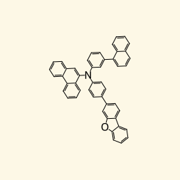 c1cc(-c2cccc3ccccc23)cc(N(c2ccc(-c3ccc4c(c3)oc3ccccc34)cc2)c2cc3ccccc3c3ccccc23)c1